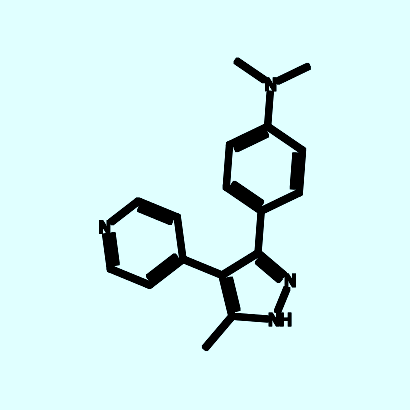 Cc1[nH]nc(-c2ccc(N(C)C)cc2)c1-c1ccncc1